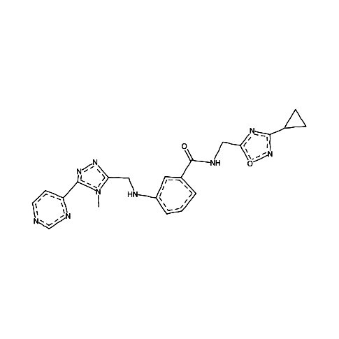 Cn1c(CNc2cccc(C(=O)NCc3nc(C4CC4)no3)c2)nnc1-c1ccncn1